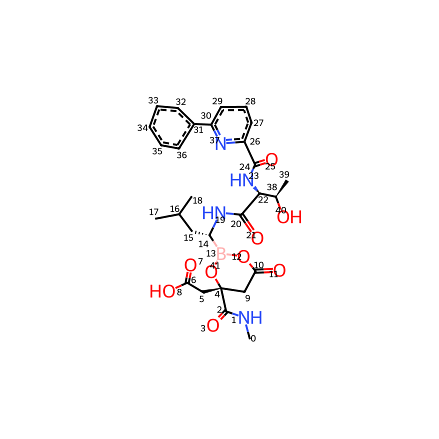 CNC(=O)[C@@]1(CC(=O)O)CC(=O)OB([C@H](CC(C)C)NC(=O)[C@@H](NC(=O)c2cccc(-c3ccccc3)n2)[C@@H](C)O)O1